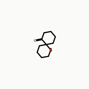 O=C1CCCCC12CCCCC21OCCO1